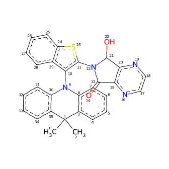 CC1(C)c2ccccc2N(c2c(N3C(=O)c4nccnc4C3O)sc3ccccc23)c2ccccc21